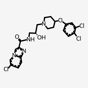 O=C(NC[C@@H](O)CN1CCC(Oc2ccc(Cl)c(Cl)c2)CC1)c1cn2cc(Cl)ccc2n1